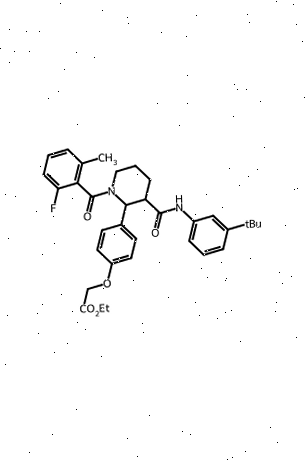 CCOC(=O)COc1ccc(C2C(C(=O)Nc3cccc(C(C)(C)C)c3)CCCN2C(=O)c2c(C)cccc2F)cc1